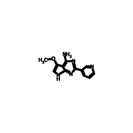 COc1c[nH]c2nc(-c3cccnc3)nc(N)c12